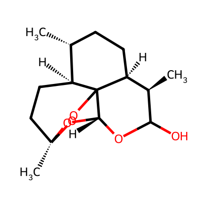 C[C@@H]1CC[C@H]2[C@@H](C)C(O)O[C@@H]3O[C@]4(C)CC[C@@H]1C32OO4